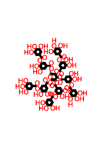 O=C(OC[C@H]1O[C@H](OC(=O)c2cc(O)c(O)c(OC(=O)c3cc(O)c(O)c(O)c3)c2)[C@H](OC(=O)c2cc(O)c(O)c(OC(=O)c3cc(O)c(O)c(O)c3)c2)[C@@H](OC(=O)c2cc(O)c(O)c(OC(=O)c3cc(O)c(O)c(O)c3)c2)[C@@H]1OC(=O)c1cc(O)c(O)c(OC(=O)c2cc(O)c(O)c(O)c2)c1)c1cc(O)c(O)c(OC(=O)c2cc(O)c(O)c(O)c2)c1